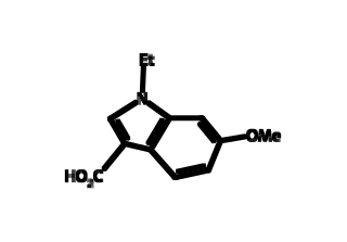 CCn1cc(C(=O)O)c2ccc(OC)cc21